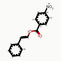 O=C(OC=Cc1ccccc1)c1ccc([N+](=O)[O-])cc1